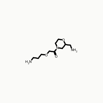 NCCCOCC(=O)N1CCOC(CN)C1